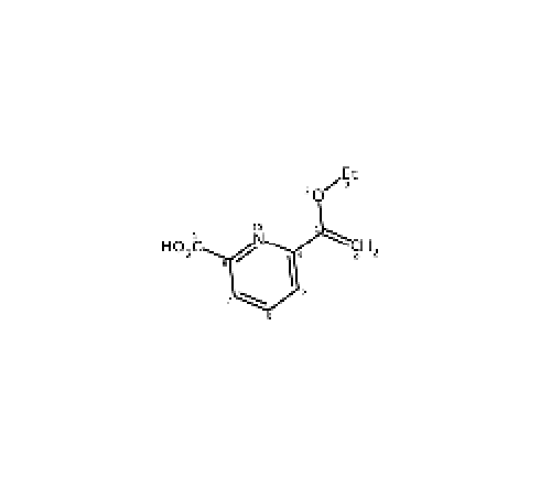 C=C(OCC)c1cccc(C(=O)O)n1